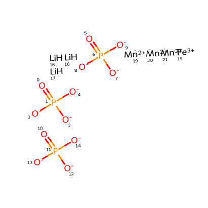 O=P([O-])([O-])[O-].O=P([O-])([O-])[O-].O=P([O-])([O-])[O-].[Fe+3].[LiH].[LiH].[LiH].[Mn+2].[Mn+2].[Mn+2]